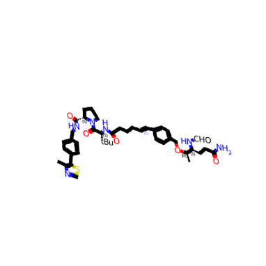 Cc1ncsc1-c1ccc(CNC(=O)[C@@H]2CCCN2C(=O)[C@@H](NC(=O)CCC/C=C/c2ccc(CO[C@H](C)[C@H](CCC(N)=O)NC=O)cc2)C(C)(C)C)cc1